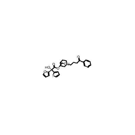 O=C(CCC[N+]12CCC(CC1)C(OC(=O)[C@](O)(c1ccco1)c1cccs1)C2)c1ccccc1